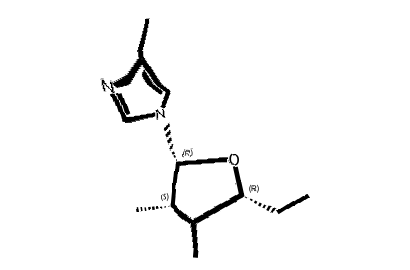 CC[C@H]1O[C@@H](n2cnc(C)c2)[C@@H](C)C1C